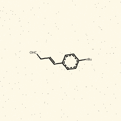 CCCCc1ccc(C=CC[C]=O)cc1